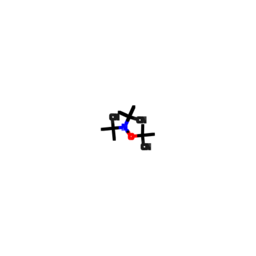 CC(C)(C#N)ON(C(C)(C)C#N)C(C)(C)C#N